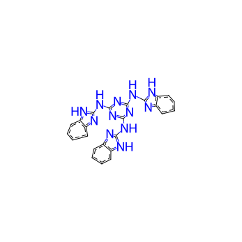 c1ccc2[nH]c(Nc3nc(Nc4nc5ccccc5[nH]4)nc(Nc4nc5ccccc5[nH]4)n3)nc2c1